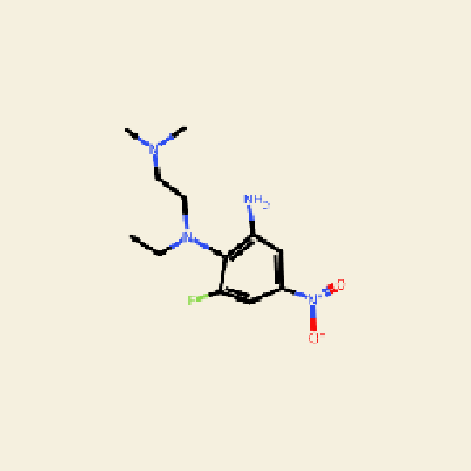 CCN(CCN(C)C)c1c(N)cc([N+](=O)[O-])cc1F